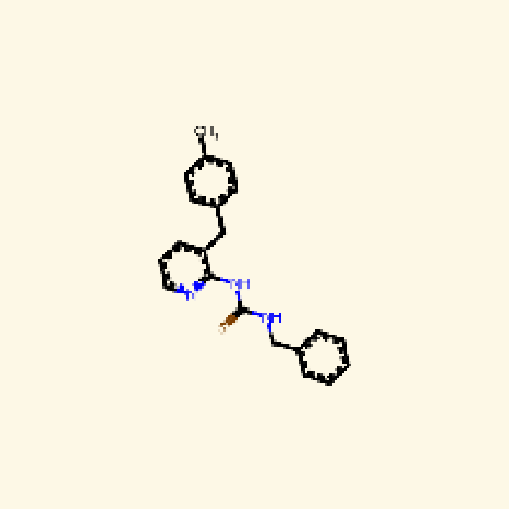 Cc1ccc(Cc2cccnc2NC(=S)NCc2ccccc2)cc1